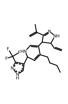 C=CC1NN=C(C(=C)C)C1C1=CNC(c2c[nH]nc2C(F)(F)F)C=C1CCCC